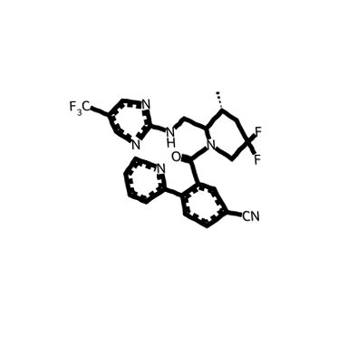 C[C@@H]1CC(F)(F)CN(C(=O)c2cc(C#N)ccc2-c2ccccn2)C1CNc1ncc(C(F)(F)F)cn1